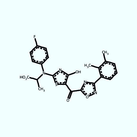 Cc1cccc(-c2noc(C(=O)c3sc(N(c4ccc(F)cc4)C(C)C(=O)O)nc3O)n2)c1C